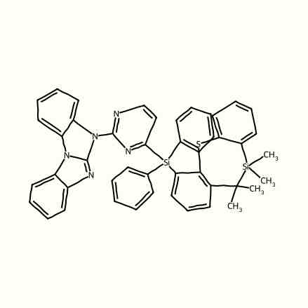 CC1(C)c2cccc([Si](c3ccccc3)(c3ccccc3)c3ccnc(-n4c5ccccc5n5c6ccccc6nc45)n3)c2Sc2ccccc2[Si]1(C)C